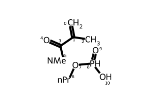 C=C(C)C(=O)NC.CCCO[PH](=O)O